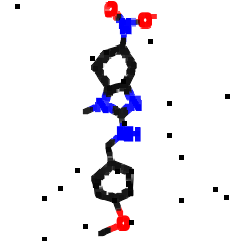 COc1ccc(CNc2nc3cc([N+](=O)[O-])ccc3n2C)cc1